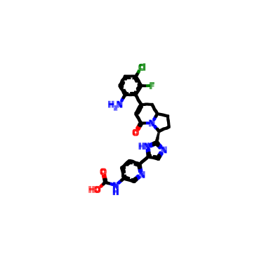 Nc1ccc(Cl)c(F)c1C1=CC(=O)N2C(CC[C@H]2c2ncc(-c3ccc(NC(=O)O)cn3)[nH]2)C1